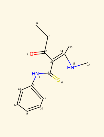 CCC(=O)C(C(=S)Nc1ccccc1)=C(C)NC